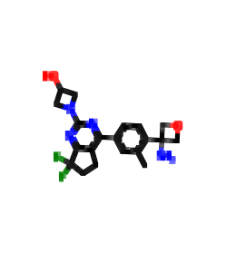 Cc1cc(-c2nc(N3CC(O)C3)nc3c2CCC3(F)F)ccc1C1(N)COC1